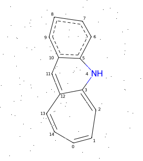 C1=CC=C2Nc3ccccc3C=C2C=C1